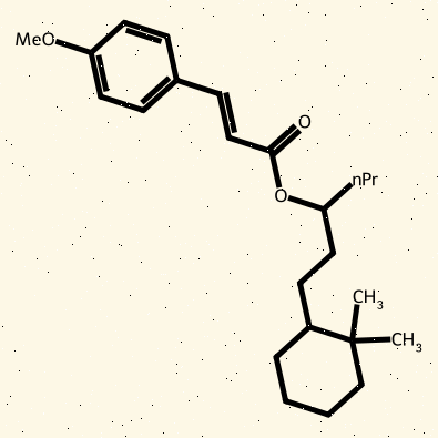 CCCC(CCC1CCCCC1(C)C)OC(=O)/C=C/c1ccc(OC)cc1